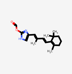 CC1=C(C=C/C(C)=C/c2c[nH]c(OC=O)n2)C(C)(C)CCC1